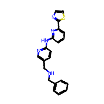 c1ccc(CNCc2ccc(Nc3cccc(-c4nccs4)n3)nc2)cc1